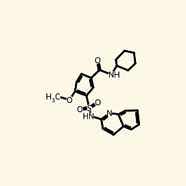 COc1ccc(C(=O)NC2CCCCC2)cc1S(=O)(=O)Nc1ccc2ccccc2n1